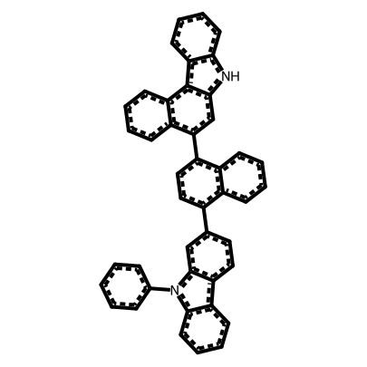 c1ccc(-n2c3ccccc3c3ccc(-c4ccc(-c5cc6[nH]c7ccccc7c6c6ccccc56)c5ccccc45)cc32)cc1